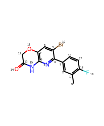 Cc1cc(-c2nc3c(cc2Br)OCC(=O)N3)ccc1F